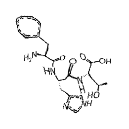 C[C@@H](O)[C@H](NC(=O)[C@H](Cc1c[nH]cn1)NC(=O)[C@@H](N)Cc1ccccc1)C(=O)O